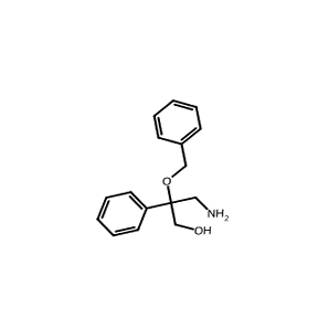 NCC(CO)(OCc1ccccc1)c1ccccc1